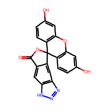 O=C1OC2(c3ccc(O)cc3Oc3cc(O)ccc32)c2cc3nn[nH]c3cc21